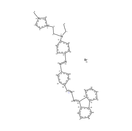 CCN(CC[n+]1ccn(C)c1)c1ccc(N=Nc2ccc(/C=N/N=C3c4ccccc4-c4ccccc43)cc2)cc1.[Br-]